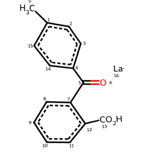 Cc1ccc(C(=O)c2ccccc2C(=O)O)cc1.[La]